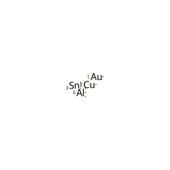 [Al].[Au].[Cu].[Sn]